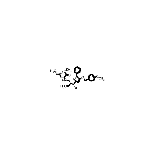 C=C[C@@H](CN[C@@H](CC(=O)OC)C(=O)OC)[C@H](O)c1cc(OCc2ccc(OC)cc2)n(-c2ccccc2)n1